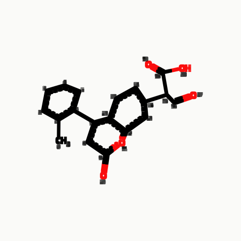 Cc1ccccc1-c1cc(=O)oc2cc(C(C=O)C(=O)O)ccc12